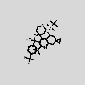 CC(C)c1nc2c(c3c1C(O)(c1ccc(C(F)(F)F)cc1)OC31CCOCC1)[C@@H](O[Si](C)(C)C(C)(C)C)CC1(CC1)C2